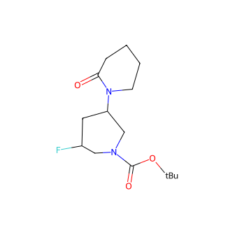 CC(C)(C)OC(=O)N1CC(F)CC(N2CCCCC2=O)C1